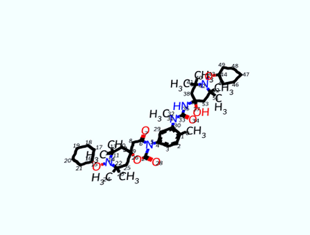 Cc1ccc(N2C(=O)CC3(CC(C)(C)N(OC4CCCCC4)C(C)(C)C3)OC2=O)cc1N(C)C(=O)NC1(O)CC(C)(C)N(OC2CCCCC2)C(C)(C)C1